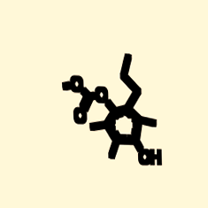 CCCc1c(C)c(O)c(C)c(C)c1OC(=O)OC